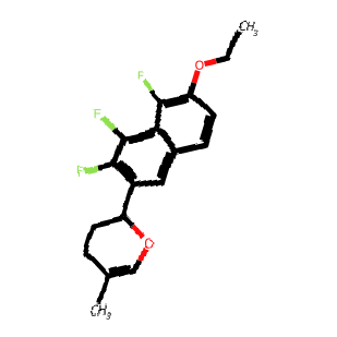 CCOc1ccc2cc(C3CCC(C)=CO3)c(F)c(F)c2c1F